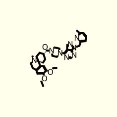 CCOc1cc2c(cc1OCC)[C@]1(CC[C@@H](C(=O)N3CCN(c4ncnc5c4cnn5Cc4cccc(C)n4)CC3)CC1)N(C)CC2